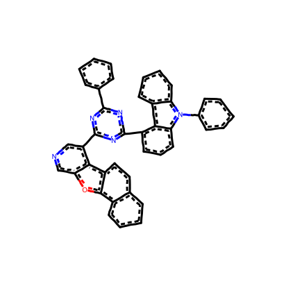 c1ccc(-c2nc(-c3cncc4oc5c6ccccc6ccc5c34)nc(-c3cccc4c3c3ccccc3n4-c3ccccc3)n2)cc1